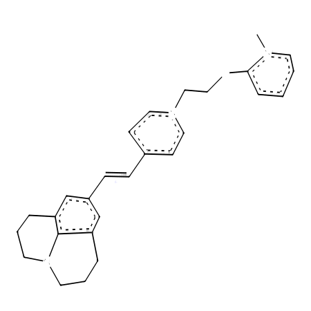 C[n+]1ccccc1SCC[n+]1ccc(/C=C/c2cc3c4c(c2)CCCN4CCC3)cc1